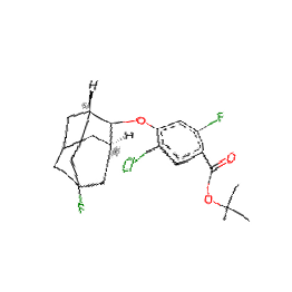 CC(C)(C)OC(=O)c1cc(Cl)c(OC2[C@@H]3CC4C[C@H]2CC(F)(C4)C3)cc1F